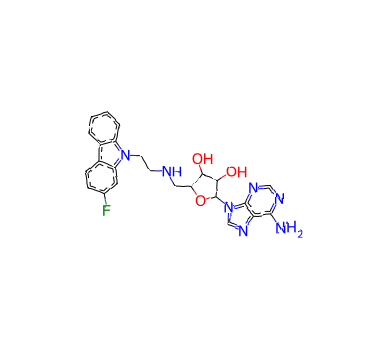 Nc1ncnc2c1ncn2C1OC(CNCCn2c3ccccc3c3ccc(F)cc32)C(O)C1O